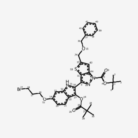 CC(C)(C)OC(=O)n1nc(-c2[nH]c3cc(OCCCBr)ccc3c2OC(=O)C(C)(C)C)c2sc(COCc3ccccc3)cc21